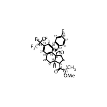 CON(C)C(=O)[C@@H]1CC[C@@]2(S(=O)(=O)c3ccc(F)cc3)c3ccc(C(F)(C(F)(F)F)C(F)(F)F)cc3CC[C@@H]12